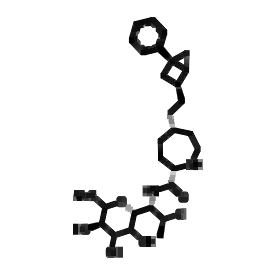 CSC1O[C@H]([C@H](NC(=O)[C@@H]2CC[C@H](CC[C@H]3C[C@]4(c5ccccc5)CC34)CCN2)[C@H](C)Cl)C(O)C(O)[C@H]1O